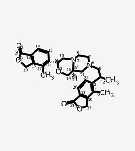 Cc1c(C(C)CN2CCN3C[C@@H](c4ccc5c(c4C)COC5=O)OC[C@@H]3C2)ccc2c1COC2=O